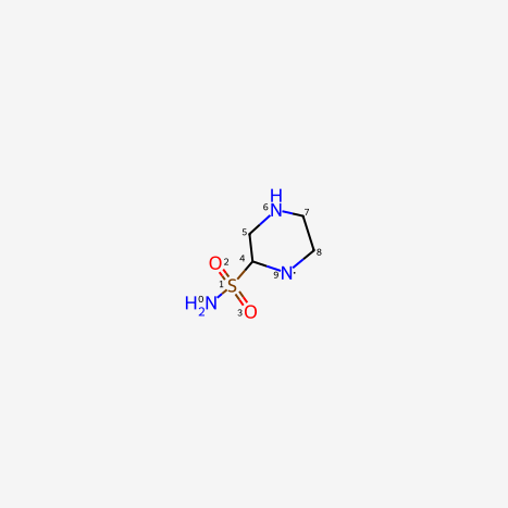 NS(=O)(=O)C1CNCC[N]1